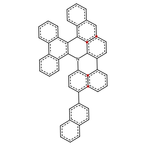 c1ccc(-c2ccccc2N(c2ccc(-c3ccc4ccccc4c3)cc2)c2c(-c3cccc4ccccc34)c3ccccc3c3ccccc23)cc1